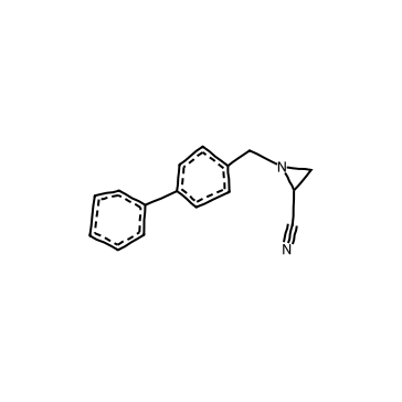 N#CC1CN1Cc1ccc(-c2ccccc2)cc1